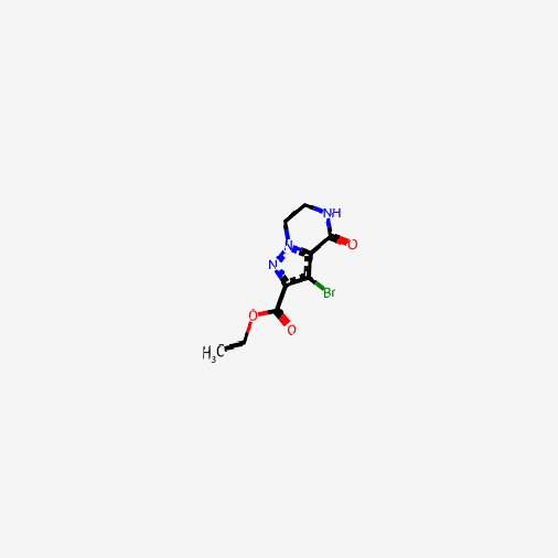 CCOC(=O)c1nn2c(c1Br)C(=O)NCC2